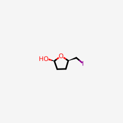 O[C@@H]1CC[C@H](CI)O1